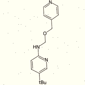 CC(C)(C)c1ccc(NCOCc2ccncc2)nc1